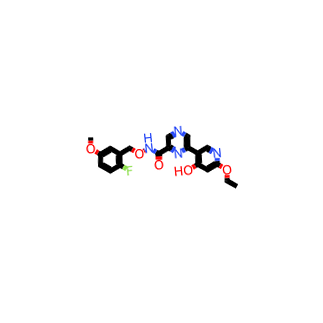 CCOc1cc(O)c(-c2cncc(C(=O)NOCc3cc(OC)ccc3F)n2)cn1